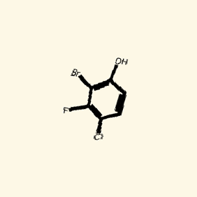 Oc1ccc(Cl)c(F)c1Br